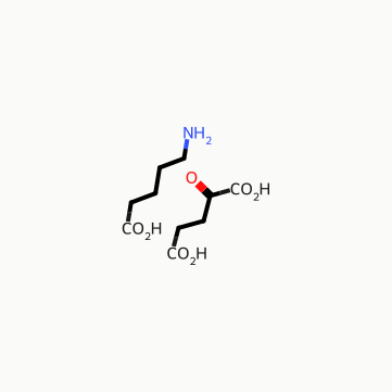 NCCCCC(=O)O.O=C(O)CCC(=O)C(=O)O